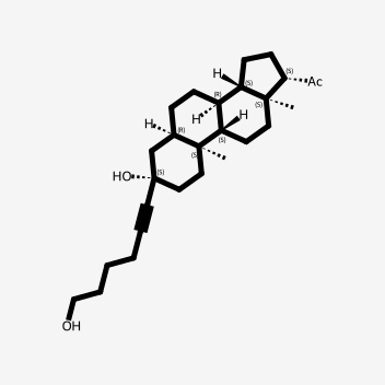 CC(=O)[C@H]1CC[C@H]2[C@@H]3CC[C@@H]4C[C@](O)(C#CCCCCO)CC[C@]4(C)[C@H]3CC[C@]12C